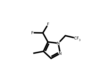 Cc1cnn(CC(F)(F)F)c1C(F)F